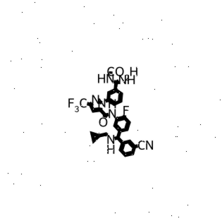 N#Cc1cccc(C(NCC2CC2)c2ccc(F)c(NC(=O)c3cc(C(F)(F)F)nn3-c3cccc(C(=N)NC(=O)O)c3)c2)c1